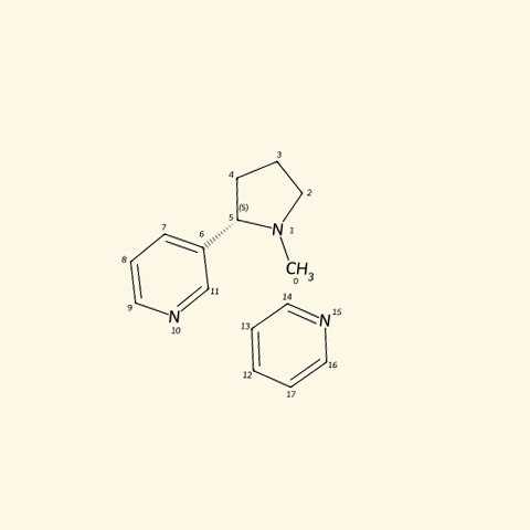 CN1CCC[C@H]1c1cccnc1.c1ccncc1